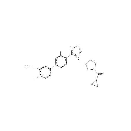 COc1cc(-c2ccc(-c3nncn3C[C@@H]3CCN(C(=O)C4CC4)C3)c(F)c2)ccc1F